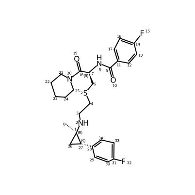 C[C@@]1(NCCSC[C@H](NC(=O)c2ccc(F)cc2)C(=O)N2CCCCC2)C[C@H]1c1ccc(F)cc1